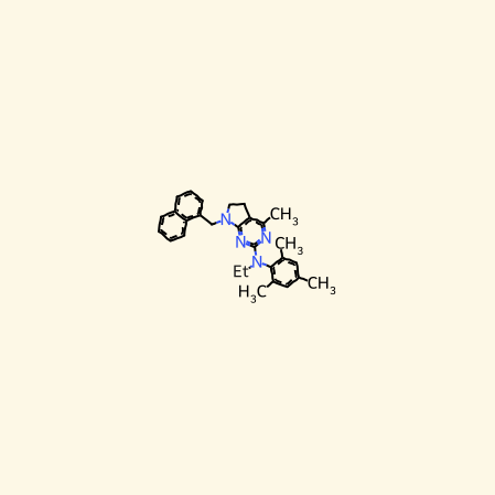 CCN(c1nc(C)c2c(n1)N(Cc1cccc3ccccc13)CC2)c1c(C)cc(C)cc1C